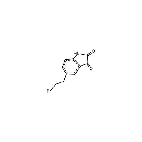 O=C1Nc2ccc(CCBr)cc2C1=O